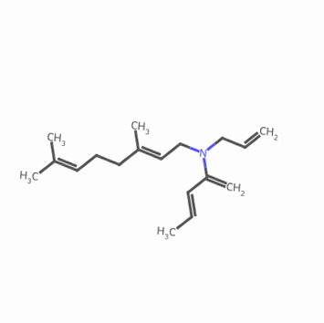 C=CCN(C/C=C(\C)CCC=C(C)C)C(=C)/C=C/C